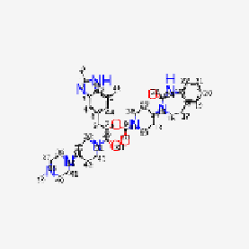 Cc1nc2cc(CC(OC(=O)N3CCC(N4CCc5ccccc5NC4=O)CC3)C(=O)N3CCC(N4CCN(C)CC4)CC3)cc(C)c2[nH]1